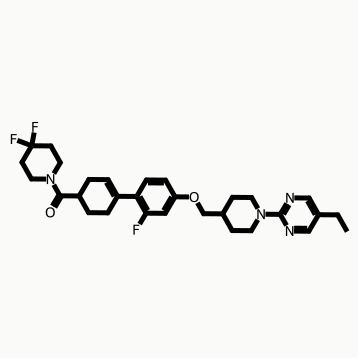 CCc1cnc(N2CCC(COc3ccc(C4=CCC(C(=O)N5CCC(F)(F)CC5)CC4)c(F)c3)CC2)nc1